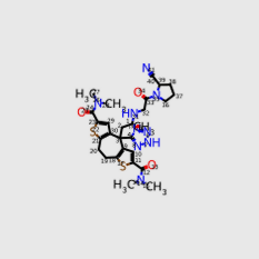 C[C@@H](CC1(c2nn[nH]n2)c2cc(C(=O)N(C)C)sc2CCc2sc(C(=O)N(C)C)cc21)NCC(=O)N1CCCC1C#N